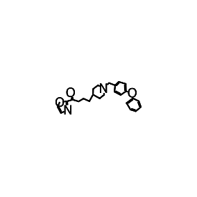 O=C(CCCC1CCN(Cc2ccc(Oc3ccccc3)cc2)CC1)c1ncco1